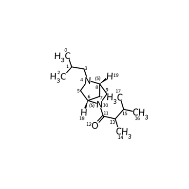 CC(C)CN1C[C@@H]2C[C@H]1CN2C(=O)C(C)C(C)C